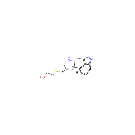 OCCSC[C@H]1CNC2Cc3c[nH]c4cccc(c34)[C@H]2C1